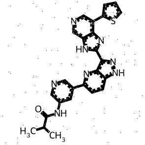 CC(C)C(=O)Nc1cncc(-c2ccc3[nH]nc(-c4nc5c(-c6cccs6)cncc5[nH]4)c3n2)c1